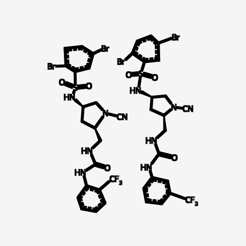 N#CN1C[C@H](NS(=O)(=O)c2cc(Br)ccc2Br)C[C@@H]1CNC(=O)Nc1cccc(C(F)(F)F)c1.N#CN1C[C@H](NS(=O)(=O)c2cc(Br)ccc2Br)C[C@@H]1CNC(=O)Nc1ccccc1C(F)(F)F